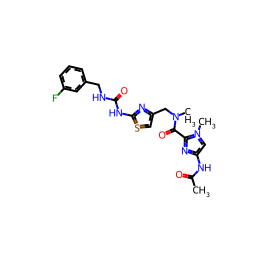 CC(=O)Nc1cn(C)c(C(=O)N(C)Cc2csc(NC(=O)NCc3cccc(F)c3)n2)n1